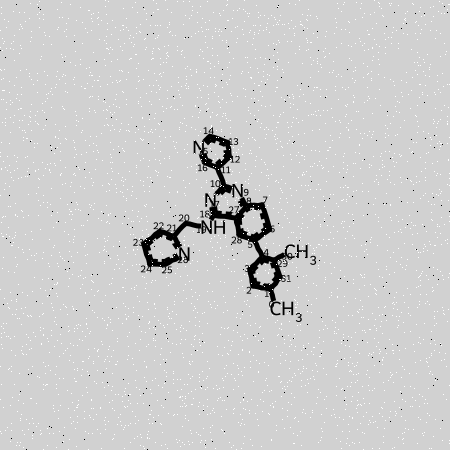 Cc1ccc(-c2ccc3nc(-c4cccnc4)nc(NCc4ccccn4)c3c2)c(C)c1